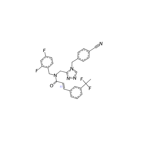 CC(F)(F)c1cccc(/C=C/C(=O)N(Cc2ccc(F)cc2F)Cc2nncn2Cc2ccc(C#N)cc2)c1